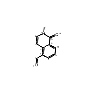 Cn1ccc2c(C=O)cccc2c1=O